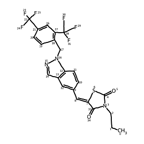 CCCN1C(=O)S/C(=C\c2ccc3c(cnn3Cc3ccc(C(F)(F)F)cc3C(F)(F)F)c2)C1=O